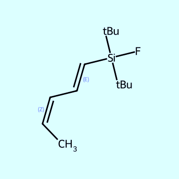 C/C=C\C=C\[Si](F)(C(C)(C)C)C(C)(C)C